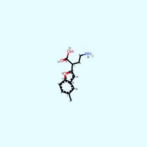 Cc1ccc2oc(C(CCN)C(=O)O)cc2c1